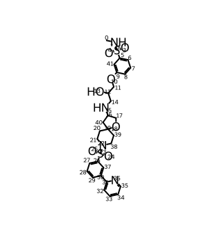 CNS(=O)(=O)c1cccc(OCC(O)CNC2COC3(CCN(S(=O)(=O)c4cccc(-c5ccccn5)c4)CC3)C2)c1